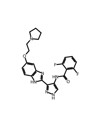 O=C(Nc1c[nH]nc1-c1nc2cc(OCCN3CCCC3)ccc2[nH]1)c1c(F)cccc1F